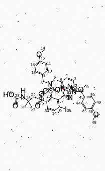 COc1ccc(CN(Cc2ccc(OC)cc2)S(=O)(=O)c2c(S(=O)(=O)CC3(NC(=O)O)CC3)ccc(I)c2-c2nnn(Cc3ccc(OC)cc3)n2)cc1